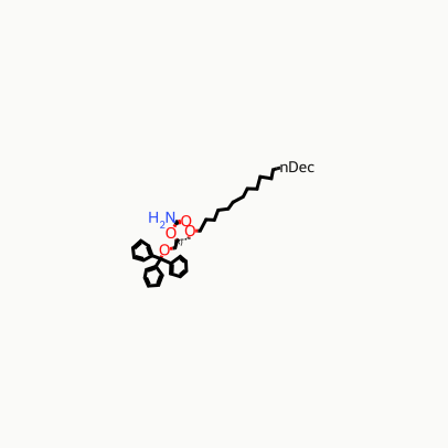 CCCCCCCCCCCCCCCCCCCCCCOC[C@H](COC(c1ccccc1)(c1ccccc1)c1ccccc1)OC(N)=O